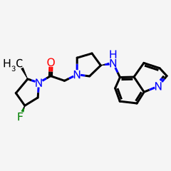 C[C@@H]1C[C@H](F)CN1C(=O)CN1CC[C@@H](Nc2cccc3ncccc23)C1